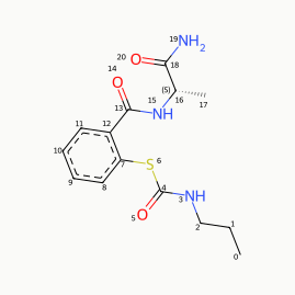 CCCNC(=O)Sc1ccccc1C(=O)N[C@@H](C)C(N)=O